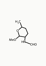 COC1OC(C)CCC1NC=O